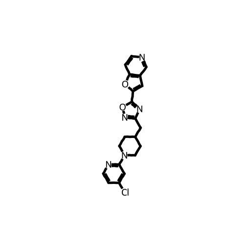 Clc1ccnc(N2CCC(Cc3noc(-c4cc5cnccc5o4)n3)CC2)c1